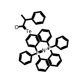 CC(C([O-])=[Te])c1ccccc1.c1ccc(P(=[N+]=P(c2ccccc2)(c2ccccc2)c2ccccc2)(c2ccccc2)c2ccccc2)cc1